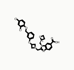 O=C(O)c1ccc2nc(CN3CC(Oc4cccc(COc5ccc(Cl)cc5Cl)c4)C3)n(C[C@@H]3CCO3)c2c1